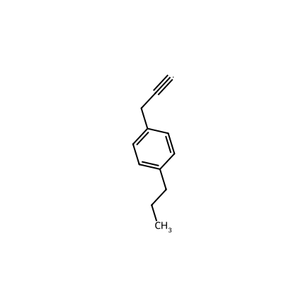 [C]#CCc1ccc(CCC)cc1